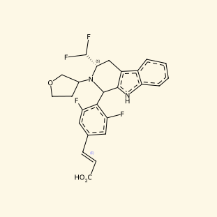 O=C(O)/C=C/c1cc(F)c(C2c3[nH]c4ccccc4c3C[C@@H](C(F)F)N2C2CCOC2)c(F)c1